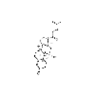 C=C(C)OCC(=O)[C@H]1CC[C@H]2[C@@H]3CCC4=CC(=O)CC[C@]4(C)[C@@]3(F)[C@@H](O)C[C@]12C